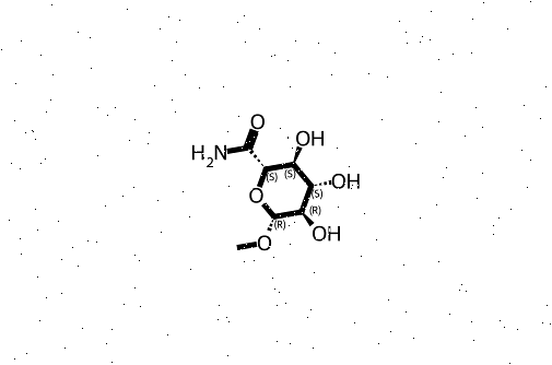 CO[C@@H]1O[C@H](C(N)=O)[C@@H](O)[C@H](O)[C@H]1O